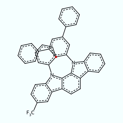 FC(F)(F)c1ccc2c(c1)c1ccc3c4ccccc4n(-c4cc(-c5ccccc5)cc(-c5ccccc5)c4)c3c1n2-c1ccccc1